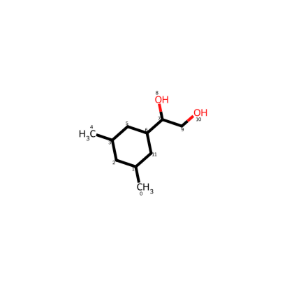 CC1CC(C)CC(C(O)CO)C1